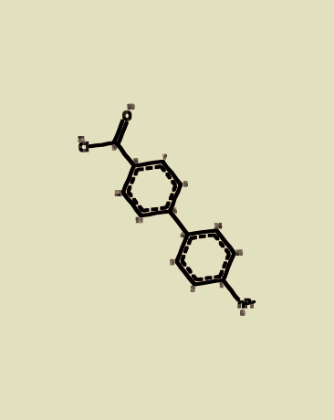 CCCc1ccc(-c2ccc(C(=O)Cl)cc2)cc1